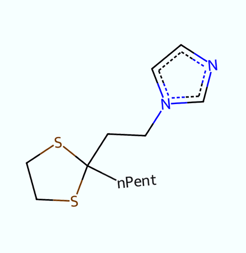 CCCCCC1(CCn2ccnc2)SCCS1